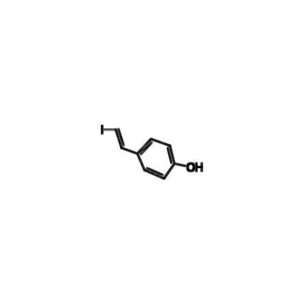 Oc1ccc(C=CI)cc1